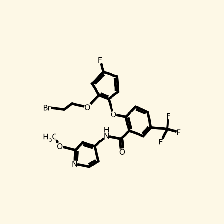 COc1cc(NC(=O)c2cc(C(F)(F)F)ccc2Oc2ccc(F)cc2OCCBr)ccn1